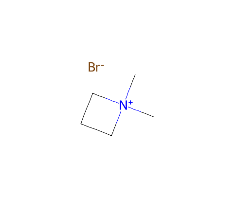 C[N+]1(C)CCC1.[Br-]